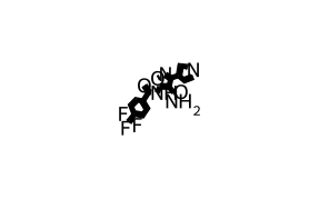 NC(=O)c1c(-c2ccncc2)noc1NC(=O)c1ccc(C(F)(F)F)cc1